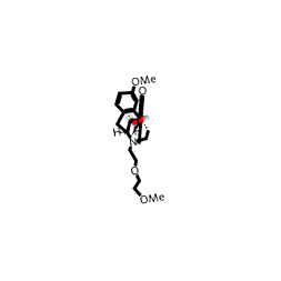 COCCOCCN1CC[C@@]23CC(=O)CC[C@@H]2[C@@H]1Cc1ccc(OC)cc13